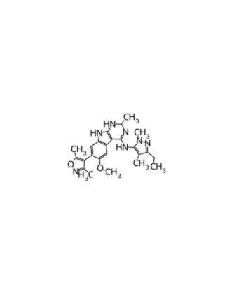 CCc1nn(C)c(NC2=NC(C)Nc3[nH]c4cc(-c5c(C)noc5C)c(OC)cc4c32)c1C